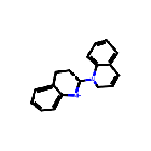 [C]1C=Cc2ccccc2N1C1CCc2ccccc2N1